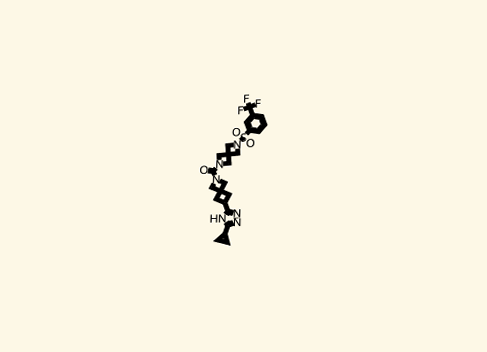 O=C(N1CC2(CC(c3nnc(C4CC4)[nH]3)C2)C1)N1CC2(C1)CN(S(=O)(=O)c1cccc(C(F)(F)F)c1)C2